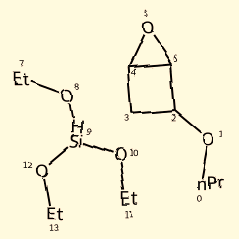 CCCOC1CC2OC12.CCO[SiH](OCC)OCC